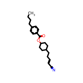 CCCCc1ccc(C(=O)OC2CCC(CCC=CC#N)CC2)cc1